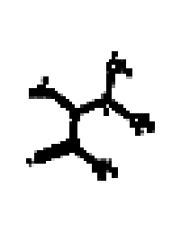 CCCCC(C(N)=O)N(C)C